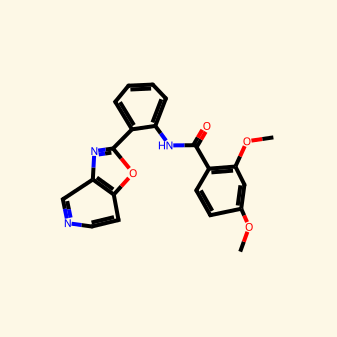 COc1ccc(C(=O)Nc2ccccc2-c2nc3cnccc3o2)c(OC)c1